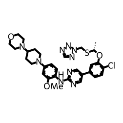 COc1cc(N2CCC(N3CCOCC3)CC2)ccc1Nc1ncc(-c2ccc(Cl)c(O[C@@H](C)SCn3ncnn3)c2)cn1